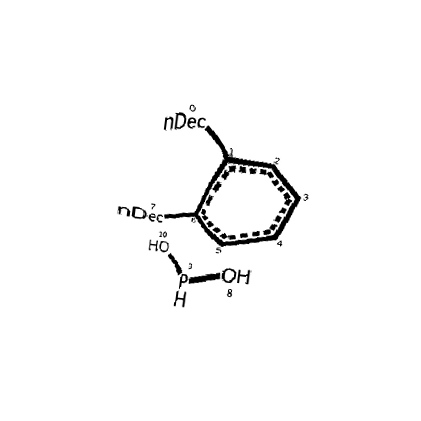 CCCCCCCCCCc1ccccc1CCCCCCCCCC.OPO